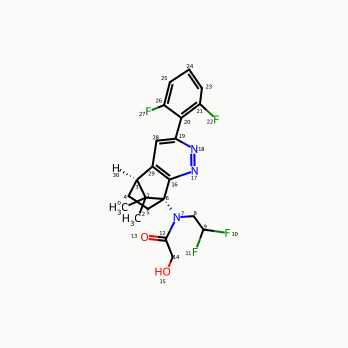 CC1(C)[C@H]2CC[C@]1(N(CC(F)F)C(=O)CO)c1nnc(-c3c(F)cccc3F)cc12